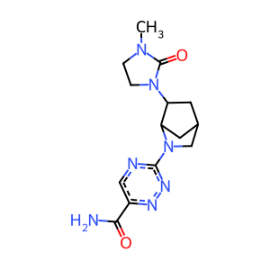 CN1CCN(C2CC3CC2N(c2ncc(C(N)=O)nn2)C3)C1=O